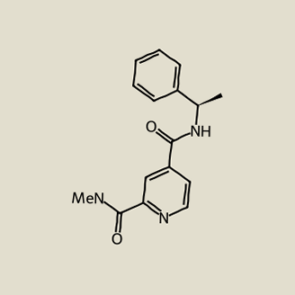 CNC(=O)c1cc(C(=O)N[C@H](C)c2ccccc2)ccn1